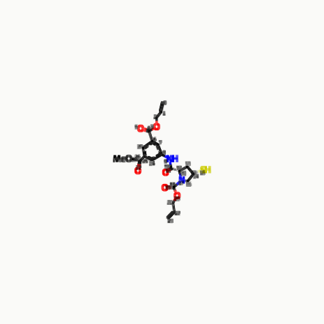 C=CCOC(=O)c1cc(NC(=O)[C@@H]2C[C@H](S)CN2C(=O)OCC=C)cc(C(=O)OC)c1